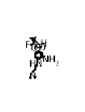 CN(C)CCCNc1ccc(S(=O)(=O)NC2(CF)CC2)cc1N